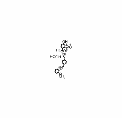 COc1ccccc1CNCc1ccc(CCNCC(O)(O)c2ccc(O)c3[nH]c(=O)sc23)cc1.Cl.Cl